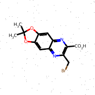 CC1(C)Oc2cc3nc(CBr)c(C(=O)O)nc3cc2O1